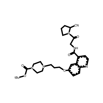 CC(C)(C)OC(=O)N1CCN(CCCOc2ccc3nccc(C(=O)NCC(=O)N4CCCC4C#N)c3c2)CC1